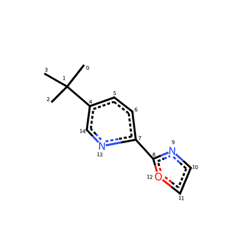 CC(C)(C)c1ccc(-c2ncco2)nc1